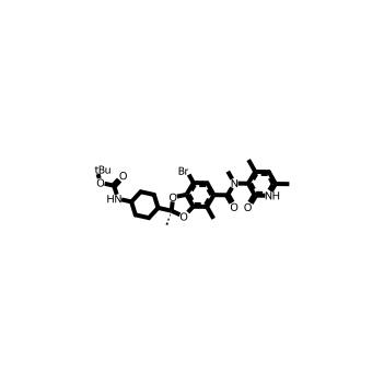 Cc1cc(C)c(N(C)C(=O)c2cc(Br)c3c(c2C)O[C@@](C)(C2CCC(NC(=O)OC(C)(C)C)CC2)O3)c(=O)[nH]1